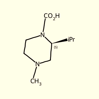 CC(C)[C@H]1CN(C)CCN1C(=O)O